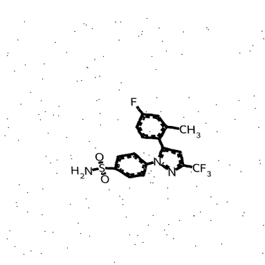 Cc1cc(F)ccc1-c1cc(C(F)(F)F)nn1-c1ccc(S(N)(=O)=O)cc1